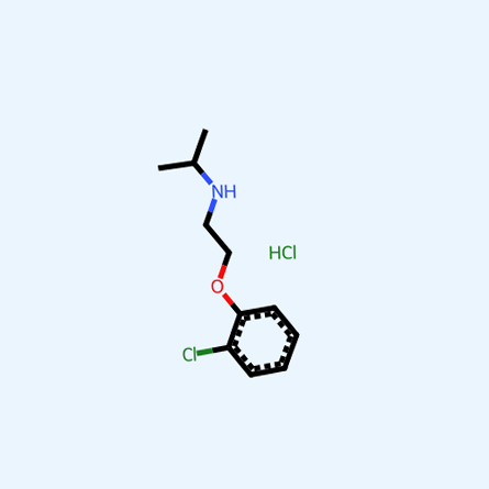 CC(C)NCCOc1ccccc1Cl.Cl